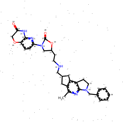 Cc1nc2c(c3c1CC(CNCCC1CN(c4ccc5c(n4)NC(=O)CO5)C(=O)O1)C3)CCN2Cc1ccccc1